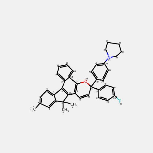 CC1(C)c2cc(C(F)(F)F)ccc2-c2c1c1c(c3ccccc23)OC(c2ccc(F)cc2)(c2ccc(N3CCCCC3)cc2)C=C1